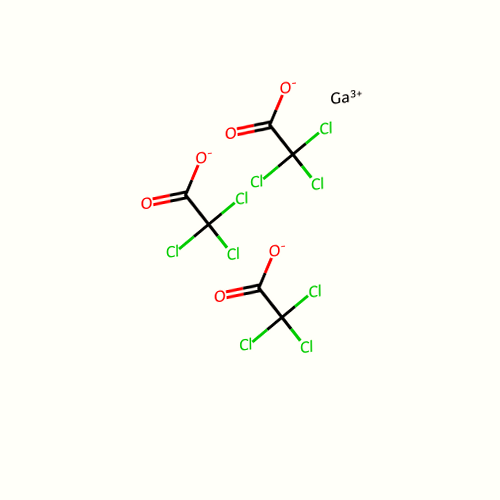 O=C([O-])C(Cl)(Cl)Cl.O=C([O-])C(Cl)(Cl)Cl.O=C([O-])C(Cl)(Cl)Cl.[Ga+3]